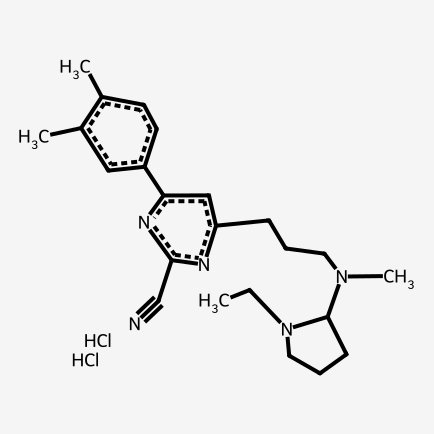 CCN1CCCC1N(C)CCCc1cc(-c2ccc(C)c(C)c2)nc(C#N)n1.Cl.Cl